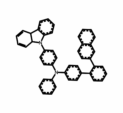 C1=CC2c3ccccc3N(c3ccc(N(c4ccccc4)c4ccc(-c5ccccc5-c5ccc6ccccc6c5)cc4)cc3)C2C=C1